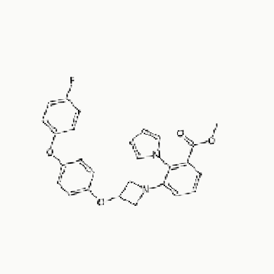 COC(=O)c1cccc(N2CC(Oc3ccc(Oc4ccc(F)cc4)cc3)C2)c1-n1cccc1